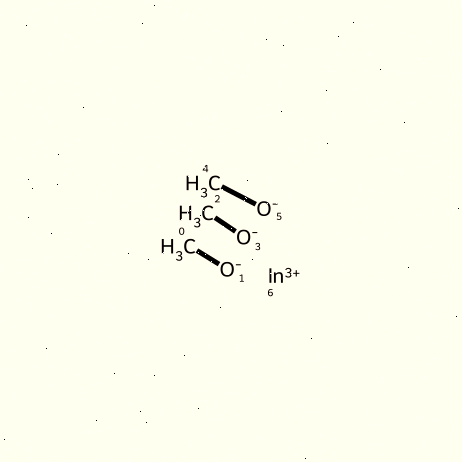 C[O-].C[O-].C[O-].[In+3]